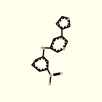 O=[N+]([O-])c1cccc(Nc2cncc(-c3ccsc3)c2)c1